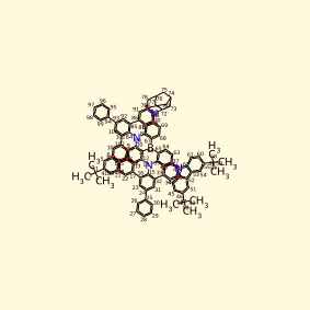 CC(C)(C)c1ccc(-c2cc3c4c(c2)N(c2c(-c5ccccc5)cc(-c5ccccc5)cc2-c2ccccc2)c2cc(-n5c6ccc(C(C)(C)C)cc6c6cc(C(C)(C)C)ccc65)ccc2B4c2ccc(N4C5CC6CC(C5)CC4C6)cc2N3c2c(-c3ccccc3)cc(-c3ccccc3)cc2-c2ccccc2)cc1